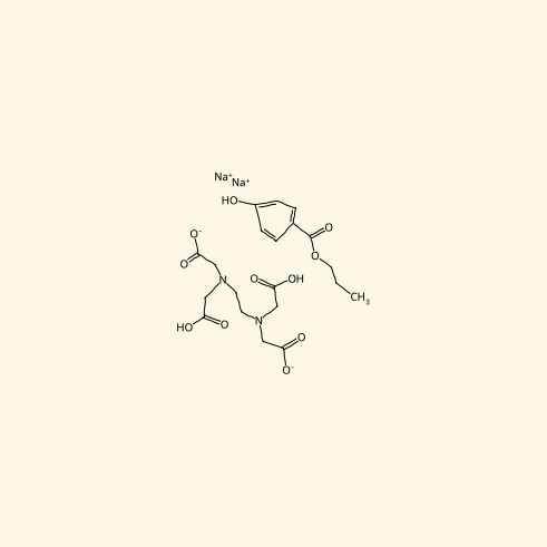 CCCOC(=O)c1ccc(O)cc1.O=C([O-])CN(CCN(CC(=O)[O-])CC(=O)O)CC(=O)O.[Na+].[Na+]